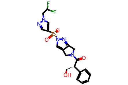 O=C([C@@H](CO)c1ccccc1)N1Cc2cn(S(=O)(=O)c3cnn(CC(F)F)c3)nc2C1